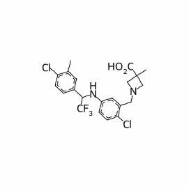 Cc1cc(C(Nc2ccc(Cl)c(CN3CC(C)(C(=O)O)C3)c2)C(F)(F)F)ccc1Cl